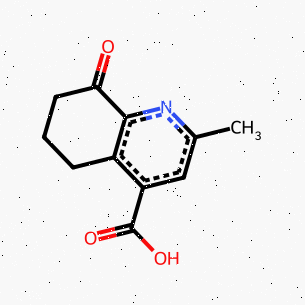 Cc1cc(C(=O)O)c2c(n1)C(=O)CCC2